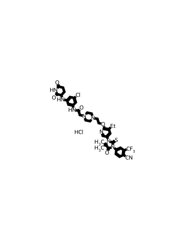 CCc1cc(N2C(=S)N(c3ccc(C#N)c(C(F)(F)F)c3)C(=O)C2(C)C)cnc1OCCN1CCN(CC(=O)Nc2cc(Cl)cc(NC3CCC(=O)NC3=O)c2)CC1.Cl